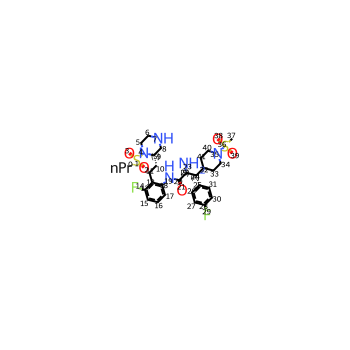 CCCS(=O)(=O)N1CCNC[C@@H]1CCc1c(F)cccc1NC(=O)[C@@H](N)[C@@H](c1ccc(F)cc1)C1CCN(S(C)(=O)=O)CC1